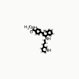 CNC(=O)c1ccc(-c2cc(NCCCC3CCCNC3)c3ccccc3n2)cc1